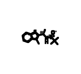 Cc1c([C@@H](C)N[S@+]([O-])C(C)(C)C)sc2ccccc12